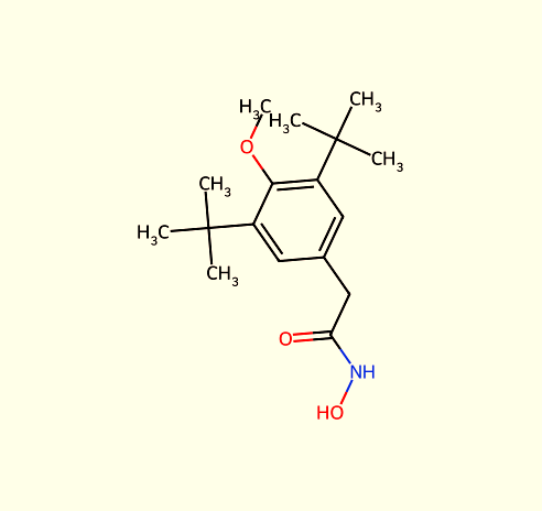 COc1c(C(C)(C)C)cc(CC(=O)NO)cc1C(C)(C)C